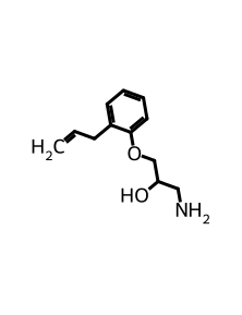 C=CCc1ccccc1OCC(O)CN